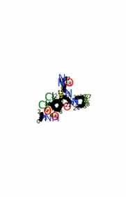 CC(C)NS(=O)(=O)c1ccc(-c2sc(-c3nnco3)nc2C(=O)N2CCC(F)(F)CC2)c(Cl)c1Cl